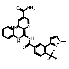 Cn1ccc(-c2cc(C(=O)N/C(Nc3ccccc3)=C3\N=CC(C(N)=O)=CC3=N)ccc2C(F)(F)F)n1